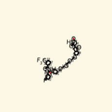 O=C1CCC(N2Cc3cc(OCCOCCOCCOC[C@H]4CC[C@@H](n5c(NC(=O)c6cccc(C(F)(F)F)c6)nc6cc(F)ccc65)CC4)ccc3C2=O)C(=O)N1